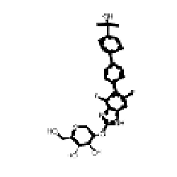 CC(C)(O)c1ccc(-c2ccc(-c3c(F)cc4[nH]c(O[C@H]5CO[C@H](CO)[C@@H](O)[C@@H]5O)nc4c3F)cc2)cc1